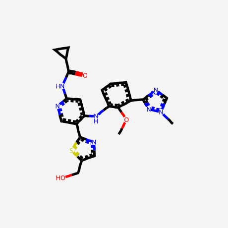 COc1c(Nc2cc(NC(=O)C3CC3)ncc2-c2ncc(CO)s2)cccc1-c1ncn(C)n1